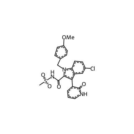 COc1ccc(Cn2c(C(=O)NS(C)(=O)=O)c(-c3ccc[nH]c3=O)c3cc(Cl)ccc32)cc1